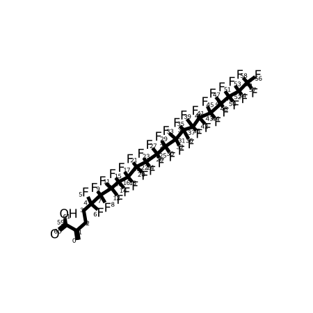 C=C(CCC(F)(F)C(F)(F)C(F)(F)C(F)(F)C(F)(F)C(F)(F)C(F)(F)C(F)(F)C(F)(F)C(F)(F)C(F)(F)C(F)(F)C(F)(F)C(F)(F)C(F)(F)C(F)(F)C(F)(F)C(F)(F)F)C(=O)O